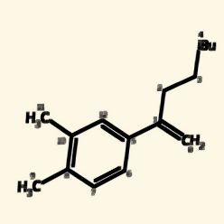 C=C(CCC(C)CC)c1ccc(C)c(C)c1